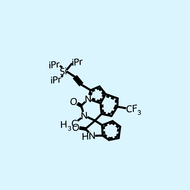 CC(C)[Si](C#Cc1cc2cc(C(F)(F)F)cc3c2n1C(=O)N(C)C31C(=O)Nc2ccccc21)(C(C)C)C(C)C